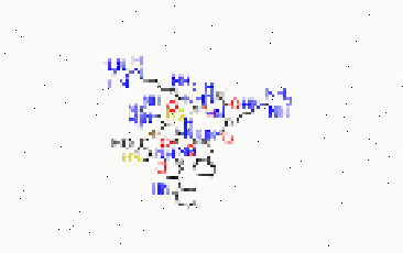 C[C@@H](NC(=O)[C@H](CS)NC(=O)[C@@H](N)CCCNC(=N)N)C(=O)N[C@@H](CCCNC(=N)N)C(=O)N[C@H](Cc1ccccc1)C(=O)N[C@@H](CC(Br)CNC(=N)N)C(=O)N[C@@H](Cc1c[nH]c2ccccc12)C(=O)N[C@@H](CS)C(=O)O